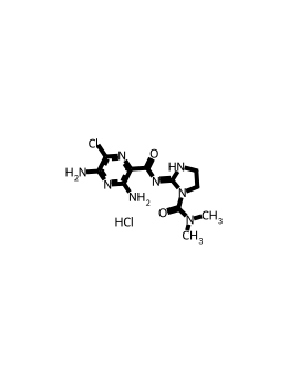 CN(C)C(=O)N1CCN/C1=N\C(=O)c1nc(Cl)c(N)nc1N.Cl